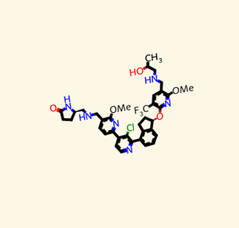 COc1nc(-c2ccnc(-c3cccc4c3CC[C@H]4Oc3nc(OC)c(CNCC(C)O)cc3C(F)(F)F)c2Cl)ccc1CNC[C@H]1CCC(=O)N1